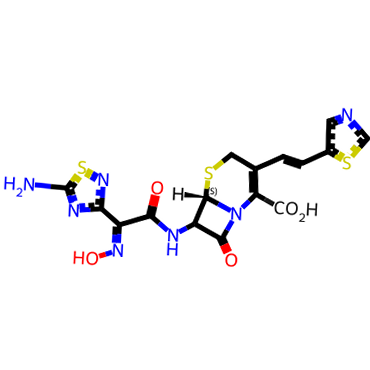 Nc1nc(C(=NO)C(=O)NC2C(=O)N3C(C(=O)O)=C(C=Cc4cncs4)CS[C@@H]23)ns1